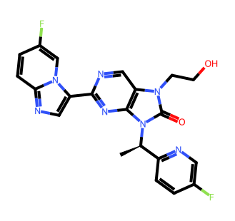 C[C@H](c1ccc(F)cn1)n1c(=O)n(CCO)c2cnc(-c3cnc4ccc(F)cn34)nc21